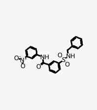 O=C(Nc1cccc([N+](=O)[O-])c1)c1cccc(S(=O)(=O)NCc2ccccc2)c1